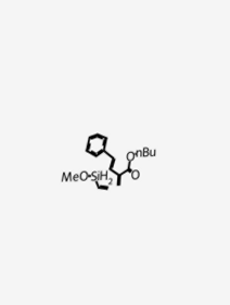 C=C(C=Cc1ccccc1)C(=O)OCCCC.C=C[SiH2]OC